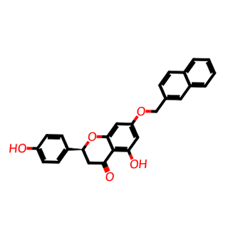 O=C1C[C@@H](c2ccc(O)cc2)Oc2cc(OCc3ccc4ccccc4c3)cc(O)c21